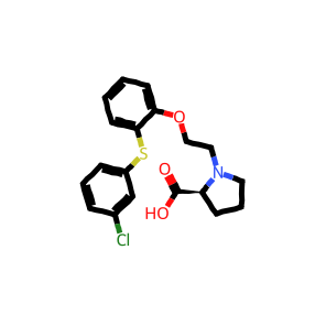 O=C(O)[C@@H]1CCCN1CCOc1ccccc1Sc1cccc(Cl)c1